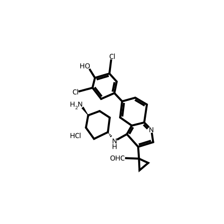 Cl.N[C@H]1CC[C@H](Nc2c(C3(C=O)CC3)cnc3ccc(-c4cc(Cl)c(O)c(Cl)c4)cc23)CC1